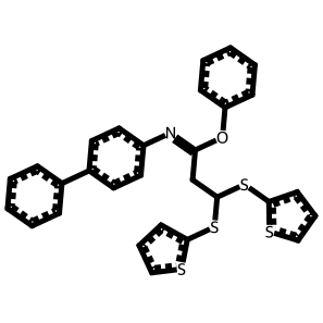 c1ccc(OC(CC(Sc2cccs2)Sc2cccs2)=Nc2ccc(-c3ccccc3)cc2)cc1